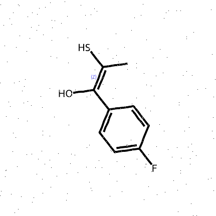 C/C(S)=C(/O)c1ccc(F)cc1